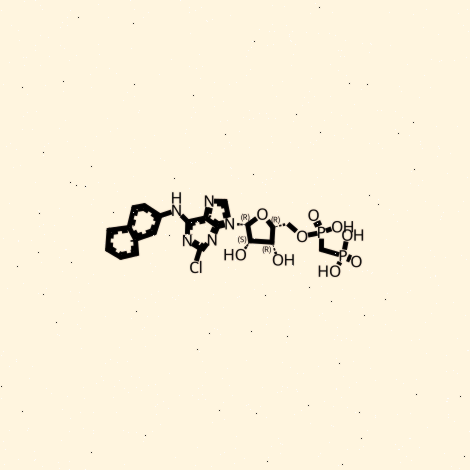 O=P(O)(O)CP(=O)(O)OC[C@H]1O[C@@H](n2cnc3c(Nc4ccc5ccccc5c4)nc(Cl)nc32)[C@@H](O)[C@H]1O